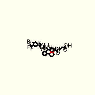 O=C(O)CCNC(=O)c1ccc(C(NC(=O)Nc2nc3cc(C(F)(F)F)c(Br)cc3s2)c2ccccc2C2CC=CCC2)cc1